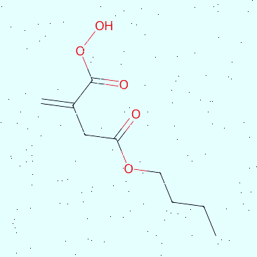 C=C(CC(=O)OCCCC)C(=O)OO